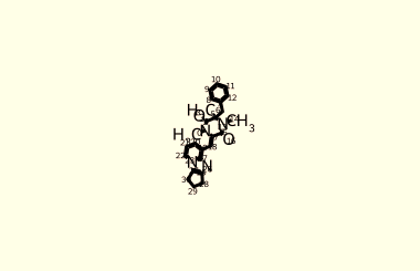 CN1C(=O)C(C)(Cc2ccccc2)N(C)C(=O)/C1=C/c1cccn2c3c(nc12)CCC3